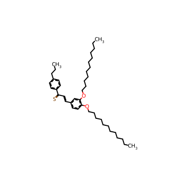 CCCCCCCCCCCCOc1ccc(C=CC(=S)c2ccc(CCC)cc2)cc1OCCCCCCCCCCCC